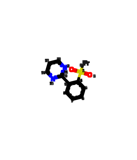 CC(C)S(=O)(=O)c1ccccc1-c1ncccn1